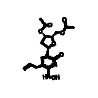 C=CCc1cn([C@H]2C[C@H](OC(C)=O)[C@@H](COC(C)=O)O2)c(=O)nc1NO